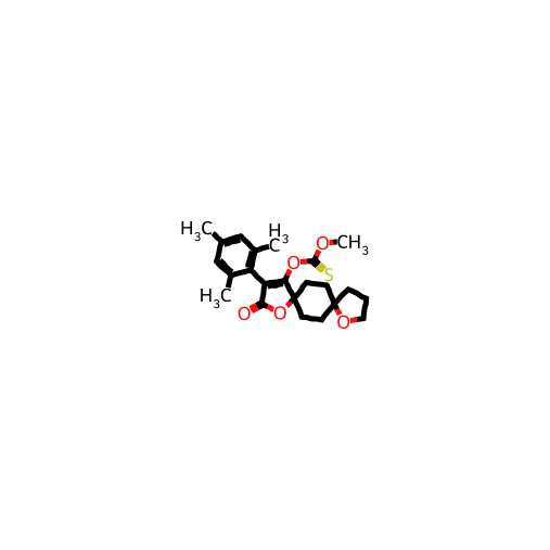 COC(=S)OC1=C(c2c(C)cc(C)cc2C)C(=O)OC12CCC1(CCCO1)CC2